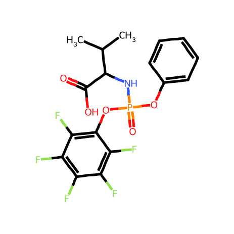 CC(C)C(NP(=O)(Oc1ccccc1)Oc1c(F)c(F)c(F)c(F)c1F)C(=O)O